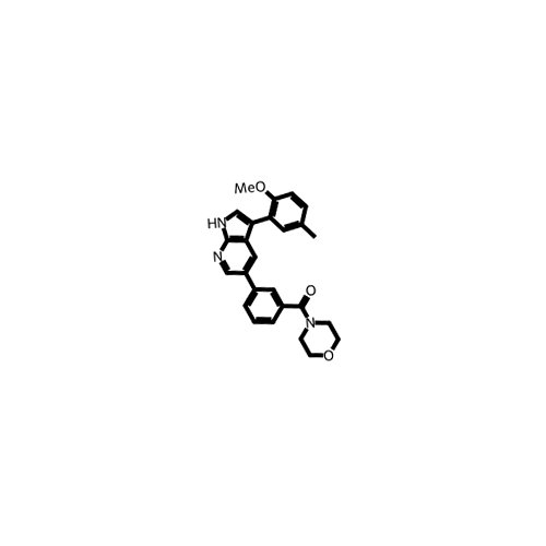 COc1ccc(C)cc1-c1c[nH]c2ncc(-c3cccc(C(=O)N4CCOCC4)c3)cc12